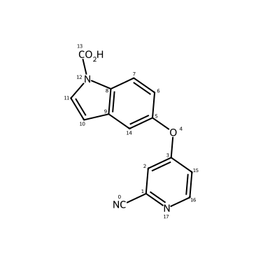 N#Cc1cc(Oc2ccc3c(ccn3C(=O)O)c2)ccn1